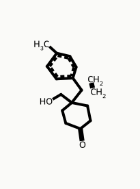 C=C.Cc1ccc(CC2(CO)CCC(=O)CC2)cc1